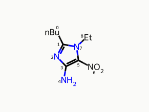 CCCCc1nc(N)c([N+](=O)[O-])n1CC